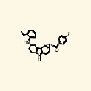 CCc1ccccc1NC1CCc2[nH]c3ccc(NC(=O)c4ccc(F)cc4)cc3c2C1